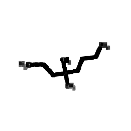 CCC[Si](C)(C)CCCP